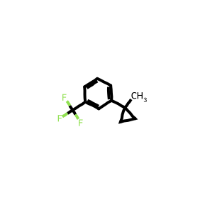 CC1(c2cccc(C(F)(F)F)c2)CC1